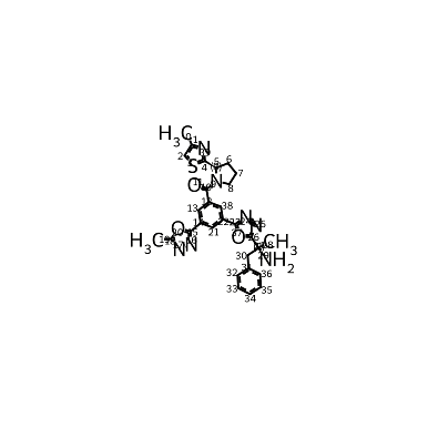 Cc1csc([C@H]2CCCN2C(=O)c2cc(-c3nnc(C)o3)cc(-c3nnc([C@](C)(N)Cc4ccccc4)o3)c2)n1